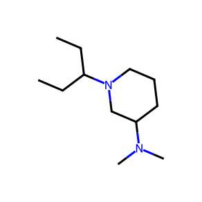 CCC(CC)N1CCCC(N(C)C)C1